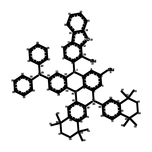 CC(C)(C)c1cc2c3c(c1)N(c1ccc4c(oc5ccccc54)c1C(C)(C)C)c1cc(N(c4ccccc4)c4ccccc4)ccc1B3c1cc3c(cc1N2c1ccc2c(c1)C(C)(C)CCC2(C)C)C(C)(C)CCC3(C)C